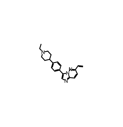 C=Cc1ccc2ncc(-c3ccc(C4CCN(CC)CC4)cc3)n2n1